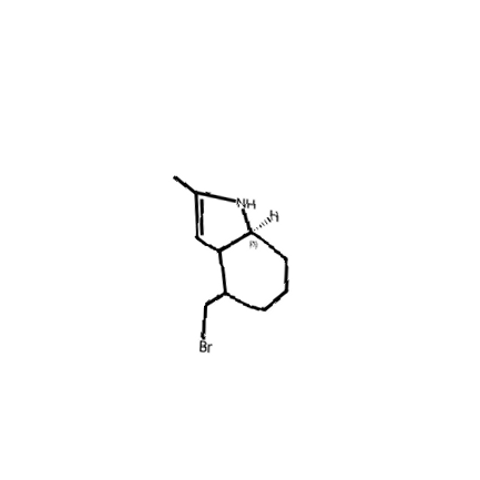 CC1=CC2C(CBr)CCC[C@@H]2N1